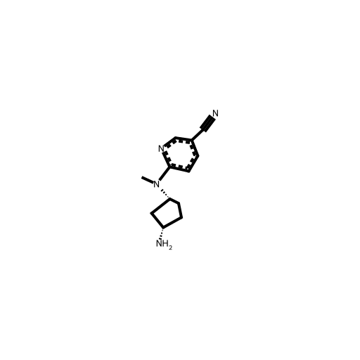 CN(c1ccc(C#N)cn1)[C@@H]1CC[C@H](N)C1